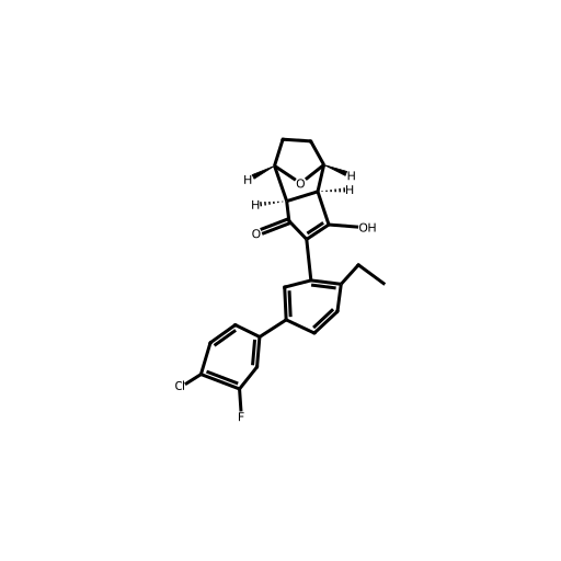 CCc1ccc(-c2ccc(Cl)c(F)c2)cc1C1=C(O)[C@H]2[C@@H](C1=O)[C@@H]1CC[C@H]2O1